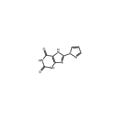 O=c1[nH]c(=O)c2[nH]c(-n3cccn3)nc2[nH]1